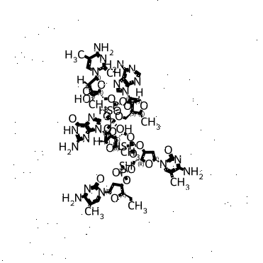 C=C1N=C(N)C(C)=CN1[C@@H]1O[C@]2(COP(=O)(S)OC3[C@@H]4O[C@@H](C)[C@]3(COP(=O)(O)OC3[C@@H]5O[C@@H](C)[C@]3(COP(=O)(S)OC3C[C@H](n6cc(C)c(N)nc6=O)O[C@@H]3COP(=O)(S)OC3C[C@H](n6cc(C)c(N)nc6=O)O[C@@H]3CC)O[C@H]5n3cnc5c(=O)[nH]c(N)nc53)O[C@H]4n3cnc4c(N)ncnc43)C(O)[C@@H]1O[C@H]2C